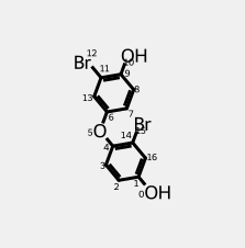 Oc1ccc(Oc2ccc(O)c(Br)c2)c(Br)c1